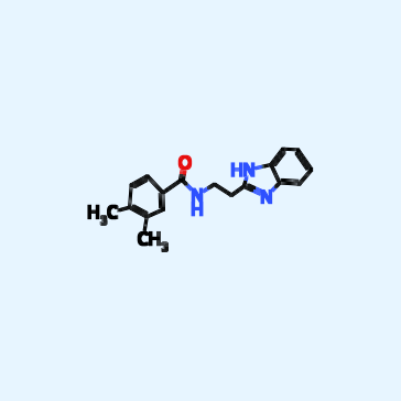 Cc1ccc(C(=O)NCCc2nc3ccccc3[nH]2)cc1C